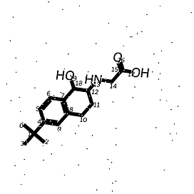 CC(C)(C)c1ccc2c(c1)CCC(NCC(=O)O)C2O